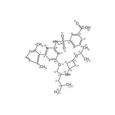 Cc1cccc(C)c1-c1cc(OCC(CC(C)C)NC2CC(OC(C)C)C2)nc(NS(=O)(=O)c2cccc(C(=O)O)c2)n1